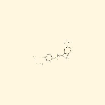 COc1ccc(N=Nc2snc3ccc(S(C)(=O)=O)cc23)cc1NC(C)=O